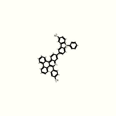 N#Cc1ccc(-c2nc3cc(-c4ccc5c(c4)c4cc(C#N)ccc4n5-c4ccccc4)ccc3c3c4ccccc4c4ccccc4c23)cc1